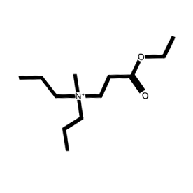 CCC[N+](C)(CCC)CCC(=O)OCC